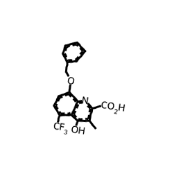 Cc1c(C(=O)O)nc2c(OCc3ccccc3)ccc(C(F)(F)F)c2c1O